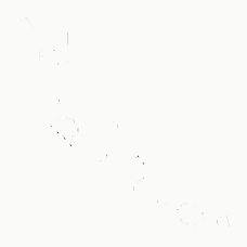 C=CCC(F)(F)OCCOc1nnc([C@H]2OC[C@H](NC(=O)COc3ccc(Cl)c(F)c3)CO2)o1